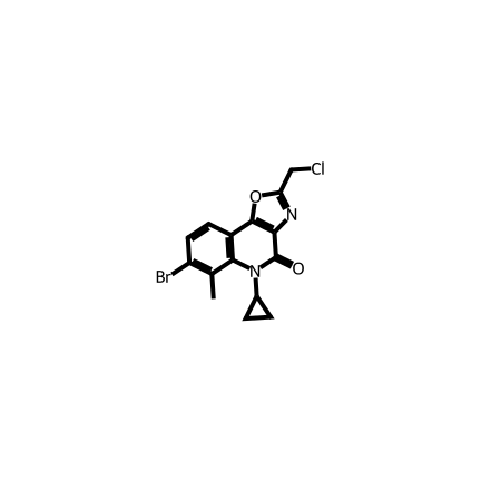 Cc1c(Br)ccc2c3oc(CCl)nc3c(=O)n(C3CC3)c12